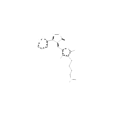 Cc1[nH]c(C=C2C(=O)NN=C2c2cccnn2)c(C(C)C)c1CCCCN(C)C